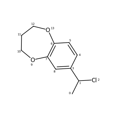 CC(Cl)c1ccc2c(c1)OCCCO2